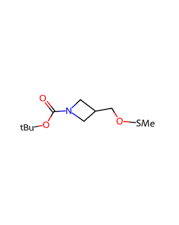 CSOCC1CN(C(=O)OC(C)(C)C)C1